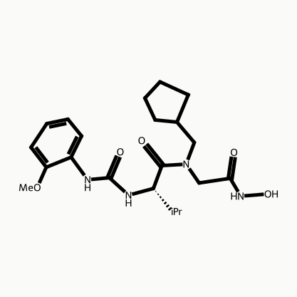 COc1ccccc1NC(=O)N[C@H](C(=O)N(CC(=O)NO)CC1CCCC1)C(C)C